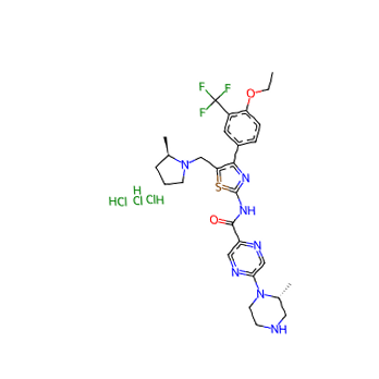 CCOc1ccc(-c2nc(NC(=O)c3cnc(N4CCNC[C@H]4C)cn3)sc2CN2CCC[C@H]2C)cc1C(F)(F)F.Cl.Cl.Cl